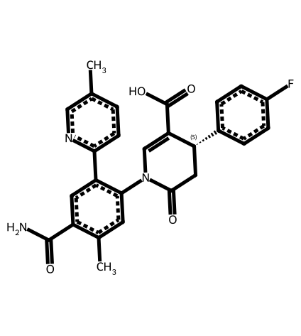 Cc1ccc(-c2cc(C(N)=O)c(C)cc2N2C=C(C(=O)O)[C@H](c3ccc(F)cc3)CC2=O)nc1